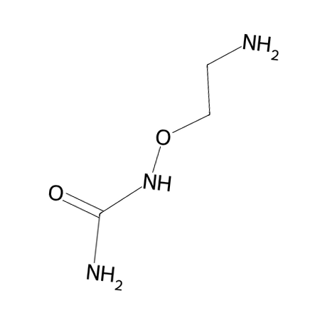 NCCONC(N)=O